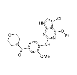 CCOc1nc(Nc2ccc(C(=O)N3CCOCC3)cc2OC)nc2[nH]cc(Cl)c12